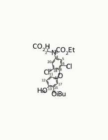 CCOC(=O)N(CC(=O)O)c1cc(Cl)c(Oc2ccc(O)c(OCC(C)C)c2)c(Cl)c1